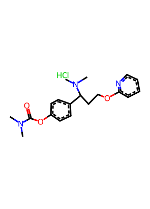 CN(C)C(=O)Oc1ccc(C(CCOc2ccccn2)N(C)C)cc1.Cl